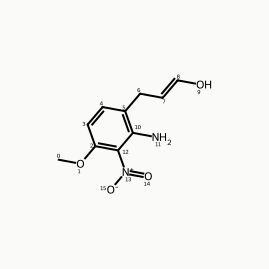 COc1ccc(CC=CO)c(N)c1[N+](=O)[O-]